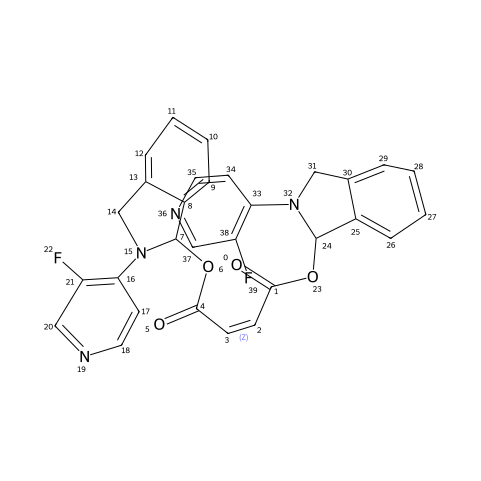 O=C(/C=C\C(=O)OC1c2ccccc2CN1c1ccncc1F)OC1c2ccccc2CN1c1ccncc1F